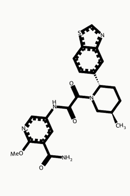 COc1ncc(NC(=O)C(=O)N2C[C@H](C)CC[C@H]2c2ccc3scnc3c2)cc1C(N)=O